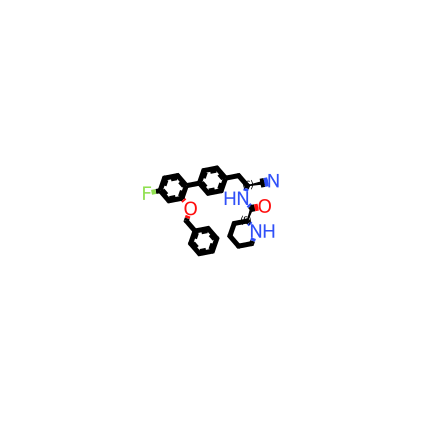 N#C[C@H](Cc1ccc(-c2ccc(F)cc2OCc2ccccc2)cc1)NC(=O)[C@@H]1CCCCN1